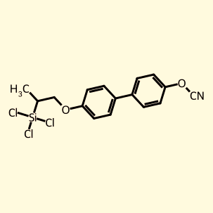 CC(COc1ccc(-c2ccc(OC#N)cc2)cc1)[Si](Cl)(Cl)Cl